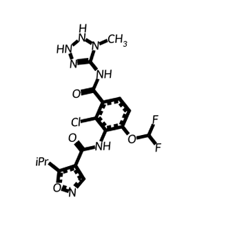 CC(C)c1oncc1C(=O)Nc1c(OC(F)F)ccc(C(=O)NC2=NNNN2C)c1Cl